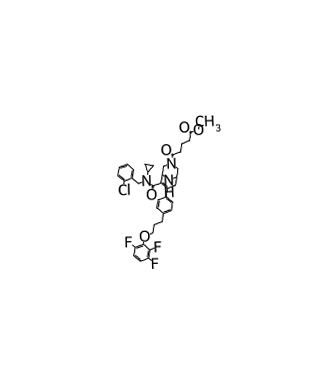 COC(=O)CCCC(=O)N1CC2CC(c3ccc(CCCOc4c(F)ccc(F)c4F)cc3)=C(C(=O)N(Cc3ccccc3Cl)C3CC3)C(C1)N2